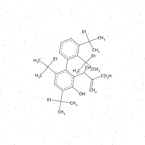 C=C(C(=O)O)C(C)c1c(O)c(C(C)(C)CC)cc(C(C)(C)CC)c1-c1cccc(C(C)(C)CC)c1C(C)(C)CC